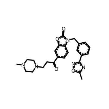 Cc1nc(-c2cccc(Cn3c(=O)oc4cc(C(=O)CCN5CCN(C)CC5)ccc43)c2)no1